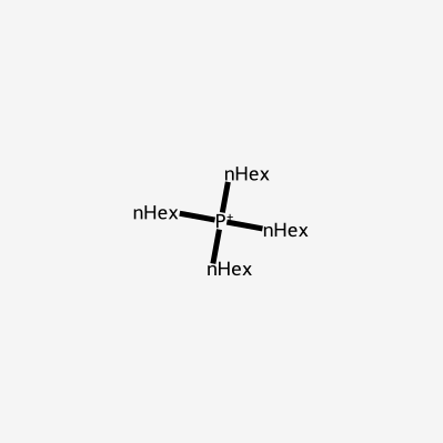 CCCCCC[P+](CCCCCC)(CCCCCC)CCCCCC